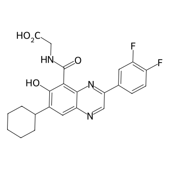 O=C(O)CNC(=O)c1c(O)c(C2CCCCC2)cc2ncc(-c3ccc(F)c(F)c3)nc12